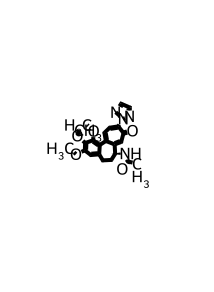 COc1cc2c(c(OC)c1OC)-c1ccc(-n3nccn3)c(=O)cc1[C@@H](NC(C)=O)CC2